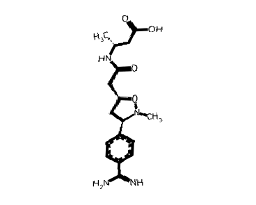 C[C@H](CC(=O)O)NC(=O)C[C@@H]1C[C@H](c2ccc(C(=N)N)cc2)N(C)O1